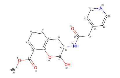 CCCCOC(=O)c1cccc2c1OB(O)[C@@H](NC(=O)Cc1ccncc1)C2